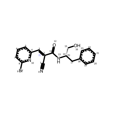 N#C/C(=C\c1cccc(Br)n1)C(=O)N[C@H](CO)Cc1ccccc1